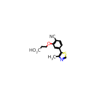 Cc1ncsc1-c1ccc(C#N)c(OCCC(=O)O)c1